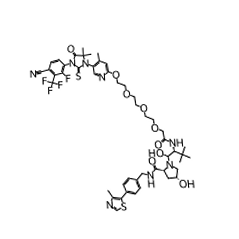 Cc1cc(OCCOCCOCCOCC(=O)N[C@H](C(O)N2C[C@H](O)C[C@H]2C(=O)NCc2ccc(-c3scnc3C)cc2)C(C)(C)C)ncc1N1C(=S)N(c2ccc(C#N)c(C(F)(F)F)c2F)C(=O)C1(C)C